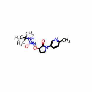 Cc1ccc(N2CC[C@@H](O/N=[N+](\[O-])NC(C)(C)C)C2=O)cn1